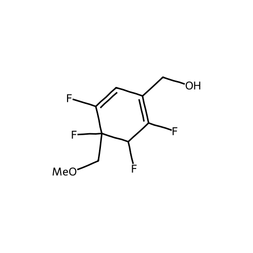 COCC1(F)C(F)=CC(CO)=C(F)C1F